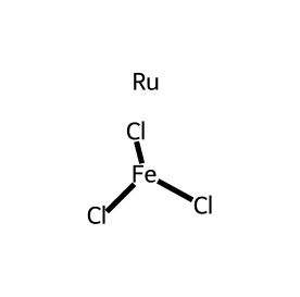 [Cl][Fe]([Cl])[Cl].[Ru]